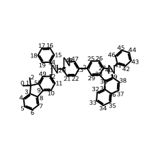 CC1(C)c2ccccc2-c2ccc(N(c3ccccc3)c3ccc(-c4ccc5c(c4)c4c6ccccc6ccc4n5-c4ccccc4)cn3)cc21